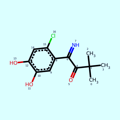 CC(C)(C)C(=O)C(=N)c1cc(O)c(O)cc1Cl